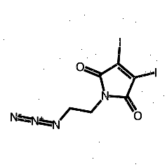 [N-]=[N+]=NCCN1C(=O)C(I)=C(I)C1=O